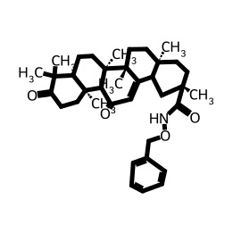 CC1(C)C(=O)CC[C@@]2(C)C1CC[C@]1(C)C2C(=O)C=C2C3C[C@@](C)(C(=O)NOCc4ccccc4)CC[C@]3(C)CC[C@]21C